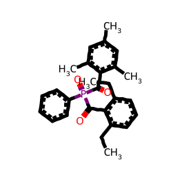 CCc1cccc(CC)c1C(=O)P(=O)(C(=O)c1c(C)cc(C)cc1C)c1ccccc1